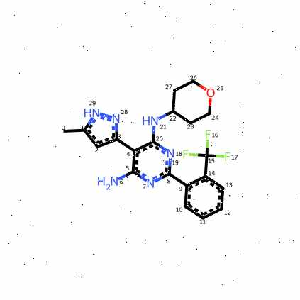 Cc1cc(-c2c(N)nc(-c3ccccc3C(F)(F)F)nc2NC2CCOCC2)n[nH]1